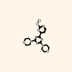 CCOc1nccc(-c2nc(N3CCOCC3)nc(N3CCOCC3)n2)n1